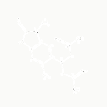 Cc1cc2oc(=O)n(C)c2cc1N(CC(=O)O)CC(=O)O